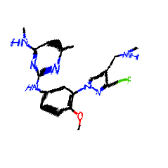 CNCc1cn(-c2cc(Nc3nc(C)cc(NC)n3)ccc2OC)nc1F